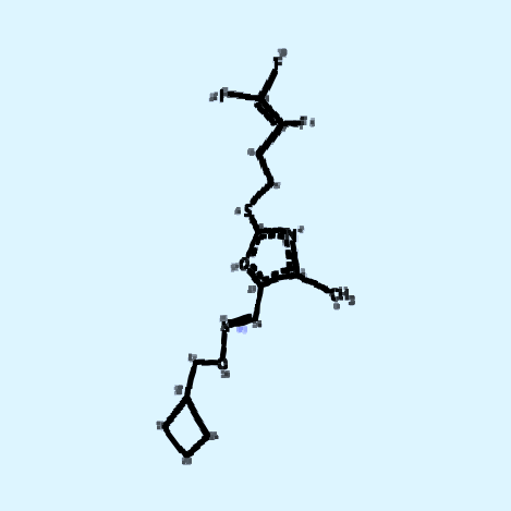 Cc1nc(SCCC(F)=C(F)F)oc1/C=N/OCC1CCC1